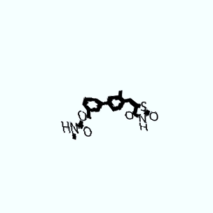 CNC(=O)OCc1cccc(-c2ccc(C=C3SC(=O)NC3=O)c(C)c2)c1